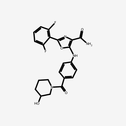 NC(=O)c1nc(-c2c(F)cccc2F)oc1Nc1ccc(C(=O)N2CCCC(O)C2)cc1